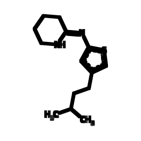 CC(C)CCc1csc(N=C2CCCCN2)c1